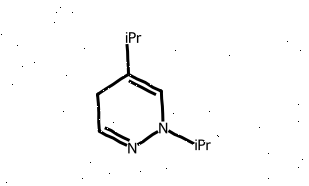 CC(C)C1=CN(C(C)C)N=CC1